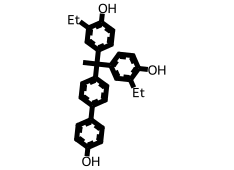 CCc1cc(C(C)(c2ccc(-c3ccc(O)cc3)cc2)c2ccc(O)c(CC)c2)ccc1O